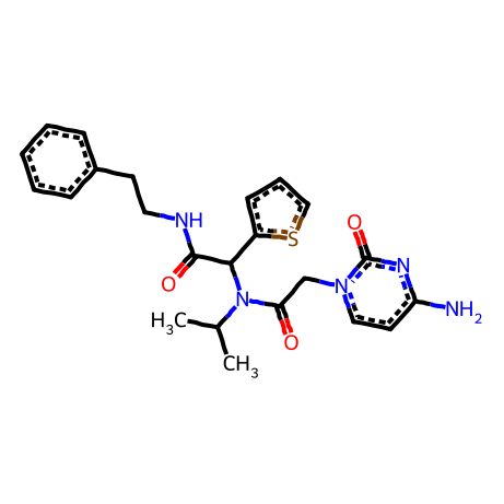 CC(C)N(C(=O)Cn1ccc(N)nc1=O)C(C(=O)NCCc1ccccc1)c1cccs1